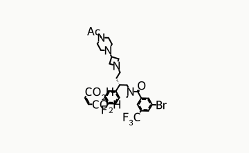 CC(=O)N1CCN(C2CN(CC[C@H](CN(C)C(=O)c3cc(Br)cc(C(F)(F)F)c3)c3ccc(F)cc3)C2)CC1.O=C(O)/C=C\C(=O)O